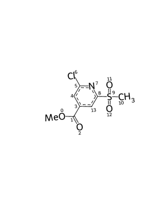 COC(=O)c1cc(Cl)nc(S(C)(=O)=O)c1